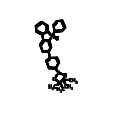 CC1(C)OB(c2ccc(-c3ccc4c(c3)P(=O)(c3ccccc3)c3ccccc3-4)cc2)OC1(C)C